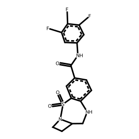 O=C(Nc1cc(F)c(F)c(F)c1)c1ccc2c(c1)S(=O)(=O)N1CCC1CN2